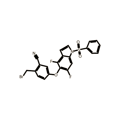 N#Cc1cc(Oc2c(F)cc3c(ccn3S(=O)(=O)c3ccccc3)c2F)ccc1CBr